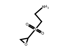 NCCS(=O)(=O)C1CO1